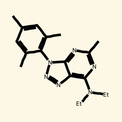 CCN(CC)c1nc(C)nc2c1nnn2-c1c(C)cc(C)cc1C